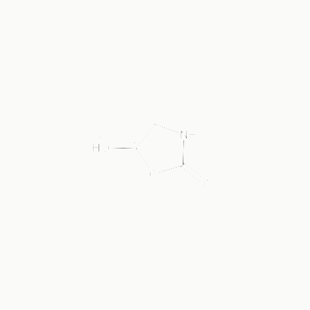 O=C1NCC(O)O1